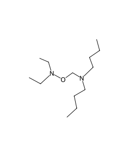 CCCCN(CCCC)CON(CC)CC